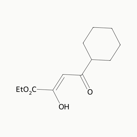 CCOC(=O)C(O)=CC(=O)C1CCCCC1